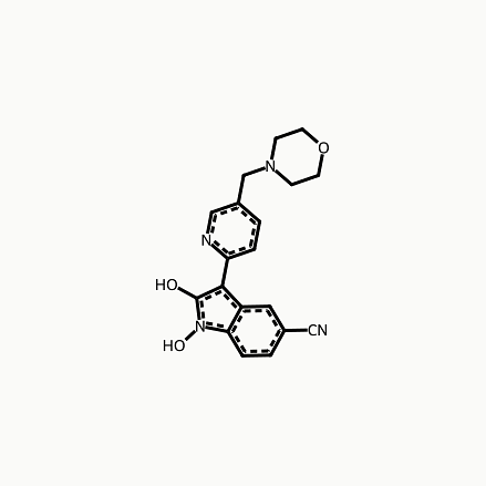 N#Cc1ccc2c(c1)c(-c1ccc(CN3CCOCC3)cn1)c(O)n2O